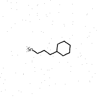 [Sn][CH2]CCC1CCCCC1